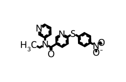 CCN(C(=O)c1ccc(Sc2ccc([N+](=O)[O-])cc2)nc1)c1cccnc1